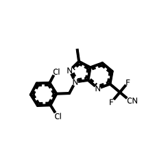 Cc1nn(Cc2c(Cl)cccc2Cl)c2nc(C(F)(F)C#N)ccc12